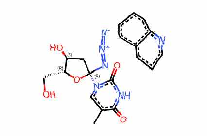 Cc1cn([C@@]2(N=[N+]=[N-])C[C@H](O)[C@@H](CO)O2)c(=O)[nH]c1=O.c1ccc2ncccc2c1